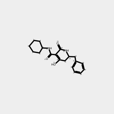 O=C(NC1CCCCC1)C1=C(O)CC(Cc2ccccc2)NC1=O